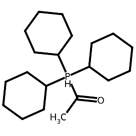 CC(=O)[PH](C1CCCCC1)(C1CCCCC1)C1CCCCC1